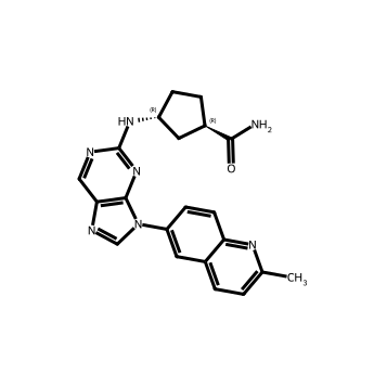 Cc1ccc2cc(-n3cnc4cnc(N[C@@H]5CC[C@@H](C(N)=O)C5)nc43)ccc2n1